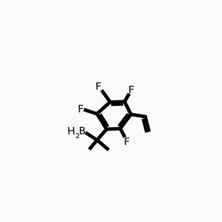 BC(C)(C)c1c(F)c(F)c(F)c(C=C)c1F